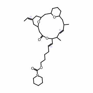 C/C=C1\CC2CC(=O)OC(/C=C/CCCCOC(=O)N3CCCCC3)C(C)/C=C/C(C)CC3CCCC(CC(C1)O2)O3